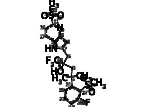 CC(C)(CC(O)(Cc1cc2nc(S(C)(=O)=O)ccc2[nH]1)C(F)(F)F)c1cccc(F)c1S(C)(=O)=O